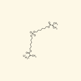 C=C(C)C(=O)OCCCCCCOP(=O)([O-])OCCCCCCOC(=O)C(=C)C.[Li+]